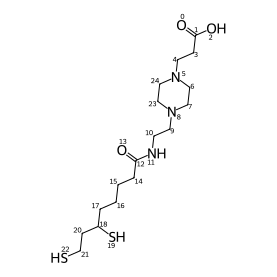 O=C(O)CCN1CCN(CCNC(=O)CCCCC(S)CCS)CC1